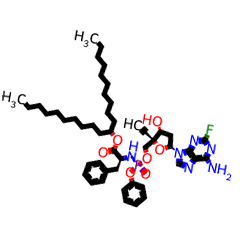 C#C[C@]1(CO[P@@](=O)(N[C@@H](Cc2ccccc2)C(=O)OC(CCCCCCCCCC)CCCCCCCCCC)Oc2ccccc2)O[C@@H](n2cnc3c(N)nc(F)nc32)C[C@@H]1O